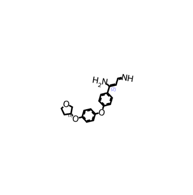 N=C/C=C(\N)c1ccc(Oc2ccc(O[C@H]3CCOC3)cc2)cc1